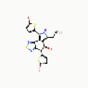 CCCCCCCCCCCC1=C2C(=O)C(c3ccc(Br)s3)c3nsnc3C2=C(c2ccc(Br)s2)[N+]1=O